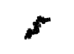 O=C(O)Cc1csc(SCC(=O)NCC2CN(Cc3cccc4cc(F)ccc34)CCO2)n1